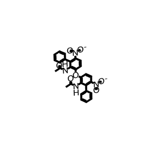 CC(=O)Nc1c(Oc2ccc([N+](=O)[O-])c(-c3ccccc3)c2NC(C)=O)ccc([N+](=O)[O-])c1-c1ccccc1